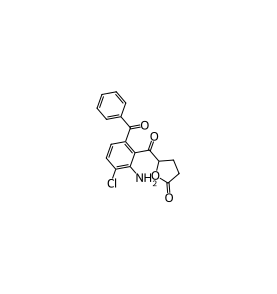 Nc1c(Cl)ccc(C(=O)c2ccccc2)c1C(=O)C1CCC(=O)O1